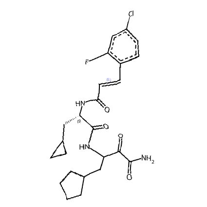 NC(=O)C(=O)C(CC1CCCC1)NC(=O)[C@H](CC1CC1)NC(=O)/C=C/c1ccc(Cl)cc1F